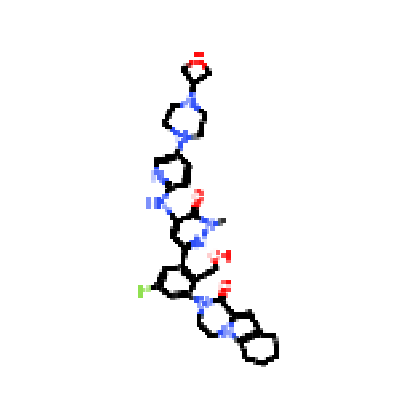 Cn1nc(-c2cc(F)cc(N3CCn4c(cc5c4CCCC5)C3=O)c2CO)cc(Nc2ccc(N3CCN(C4COC4)CC3)cn2)c1=O